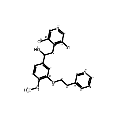 COc1ccc(C(O)Cc2c(Cl)cncc2Cl)cc1OCCc1cccnc1